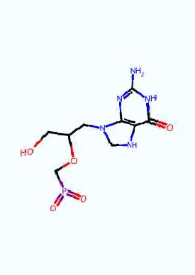 Nc1nc2c(c(=O)[nH]1)NCN2CC(CO)OCP(=O)=O